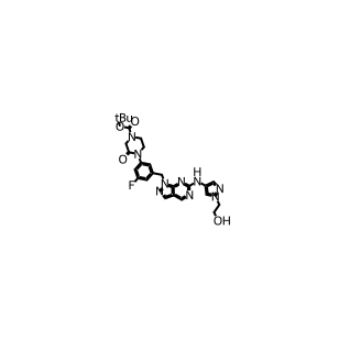 CC(C)(C)OC(=O)N1CCN(c2cc(F)cc(Cn3ncc4cnc(Nc5cnn(CCO)c5)nc43)c2)C(=O)C1